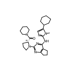 Cn1c(C2CCCCC2)cnc1Nc1nc(N2CCC[C@@H]2C(=O)N2CCCCC2)nc2c1CCC2